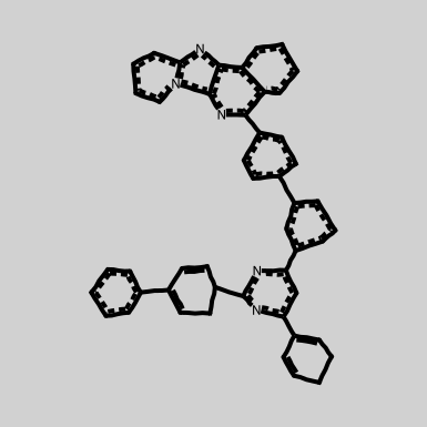 C1=CC(c2cc(-c3cccc(-c4ccc(-c5nc6c(nc7ccccn76)c6ccccc56)cc4)c3)nc(C3C=CC(c4ccccc4)=CC3)n2)=CCC1